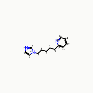 [CH](CCCn1ccnc1)Cc1ccccn1